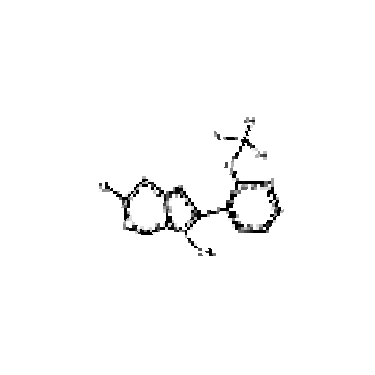 [2H]C([2H])([2H])Oc1ncccc1-c1cc2cc(Cl)ncc2n1C